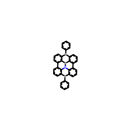 c1ccc(B2c3cccc4c3B3c5c2cccc5-c2cccc5c2N3c2c(cccc2-4)B5c2ccccc2)cc1